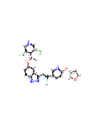 C[C@@H](Oc1ccc2[nH]nc(/C=C(\F)c3ccc(O[C@@H]4CCOC4)nc3)c2c1)c1c(Cl)cncc1Cl